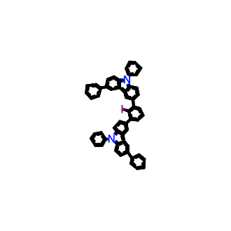 Ic1c(-c2ccc3c(c2)c2cc(-c4ccccc4)ccc2n3-c2ccccc2)cccc1-c1ccc2c(c1)c1cc(-c3ccccc3)ccc1n2-c1ccccc1